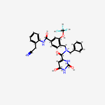 N#CCc1ccccc1NC(=O)c1ccc(CN(Cc2ccccc2)C(=O)c2cc(=O)[nH]c(=O)[nH]2)c(OC(F)(F)F)c1